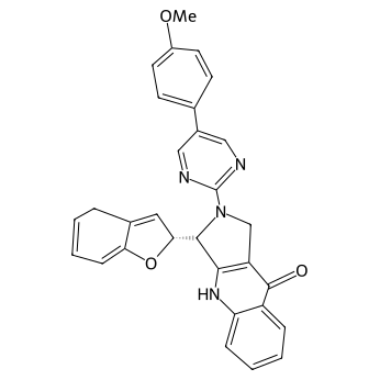 COc1ccc(-c2cnc(N3Cc4c([nH]c5ccccc5c4=O)C3[C@H]3C=C4CC=CC=C4O3)nc2)cc1